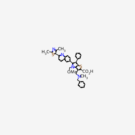 COCn1c(-c2ccc3nc(-c4sc(C)nc4C)ccc3c2)c(-c2ccccc2)c2sc(C(=O)O)c(CN(C)Cc3ccccc3)c21